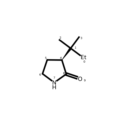 CCC(C)(C)[C@@H]1CCNC1=O